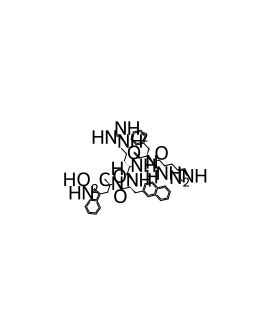 N=C(N)NCCC[C@H](NC(=O)[C@@H](Cc1ccccc1)NC(=O)[C@@H](N)Cc1c[nH]cn1)C(=O)N[C@@H](Cc1ccc2ccccc2c1)C(=O)N[C@@H](Cc1c[nH]c2ccccc12)C(=O)O